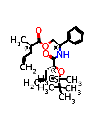 C=CC[C@@H](C)C(=O)OC[C@H](NC(=O)[C@@H](CC=C)O[Si](C)(C)C(C)(C)C)c1ccccc1